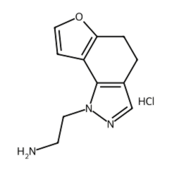 Cl.NCCn1ncc2c1-c1ccoc1CC2